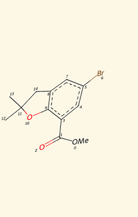 COC(=O)c1cc(Br)cc2c1OC(C)(C)C2